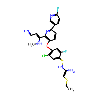 CCS/C=C(\N)NSc1cc(Cl)c(Oc2ccc(-c3ccc(F)nc3)nc2/C(=C/C=N)NC)cc1F